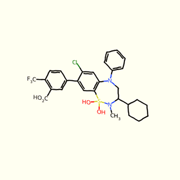 CN1C(C2CCCCC2)CN(c2ccccc2)c2cc(Cl)c(-c3ccc(C(F)(F)F)c(C(=O)O)c3)cc2S1(O)O